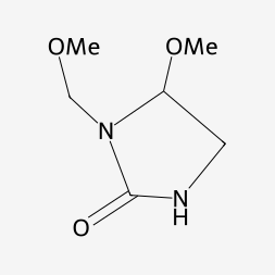 COCN1C(=O)NCC1OC